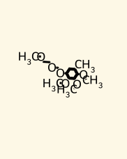 COCCOCOc1cc(C)c(OC)c(OC)c1OC